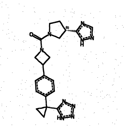 O=C(N1CC(c2ccc(C3(c4nnn[nH]4)CC3)cc2)C1)N1CC[C@H](c2ncn[nH]2)C1